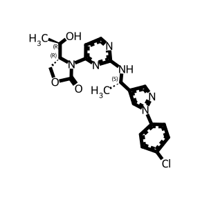 C[C@H](Nc1nccc(N2C(=O)OC[C@@H]2[C@@H](C)O)n1)c1cnn(-c2ccc(Cl)cc2)c1